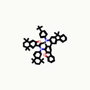 CC(C)(C)c1ccc(N2B3c4oc5cc6c(cc5c4N(c4ccc5c(c4)C(C)(C)CCC5(C)C)c4c3c(cc3c4oc4ccccc43)-c3cc4c(cc32)C(C)(C)c2ccccc2-4)C(C)(C)CCC6(C)C)cc1